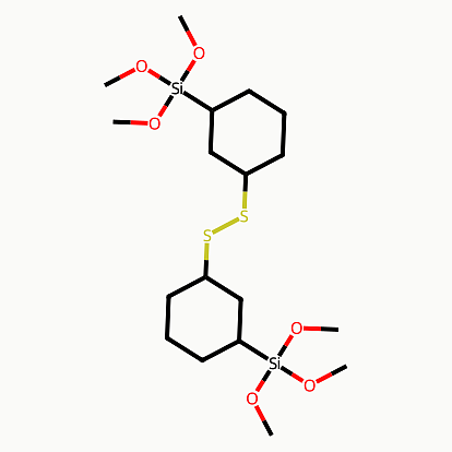 CO[Si](OC)(OC)C1CCCC(SSC2CCCC([Si](OC)(OC)OC)C2)C1